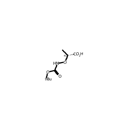 CCCCOC(=O)NO[C@H](C)C(=O)O